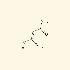 C=CC(N)=CC(N)=O